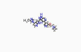 Cc1cn(-c2ccnc3[nH]c(-c4n[nH]c5cnc(-c6cncc(OCCN7CCCC7)c6)cc45)cc23)cn1